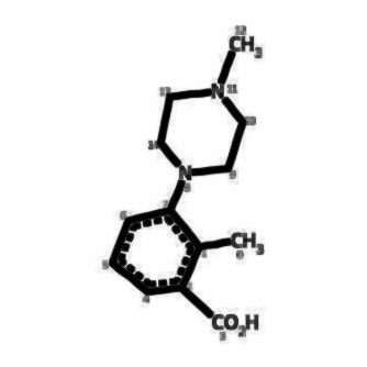 Cc1c(C(=O)O)cccc1N1CCN(C)CC1